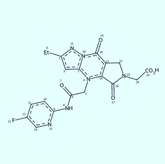 CCc1cc2n(CC(=O)Nc3ccc(F)cn3)c3c(c(=O)n2n1)CN(CC(=O)O)C3=O